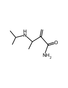 C=C(C(N)=O)C(C)NC(C)C